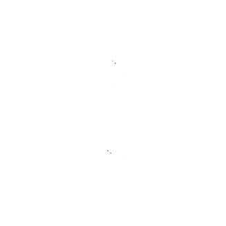 c1ccc(-n2c3cccc(-c4cccc(N(c5ccc6ccccc6c5)c5ccc6ccccc6c5)c4)c3c3ccc4ccccc4c32)cc1